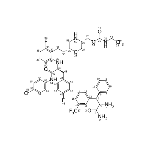 NC(=O)[C@@H](N)[C@H](c1ccccc1)c1cccc(C(F)(F)F)c1.O=C(NCC(F)(F)F)OC[C@@H]1CO[C@H](CCc2c(F)cccc2N[C@@H](Cc2ccc(F)cc2)C(=O)Nc2ccc(Cl)cc2)CN1